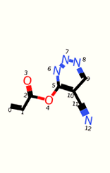 C=CC(=O)Oc1nnncc1C#N